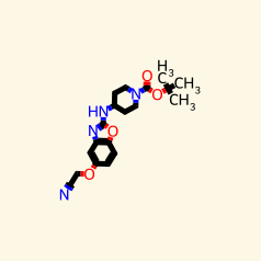 CC(C)(C)OC(=O)N1CCC(Nc2nc3cc(OCC#N)ccc3o2)CC1